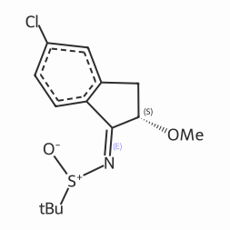 CO[C@H]1Cc2cc(Cl)ccc2/C1=N\[S+]([O-])C(C)(C)C